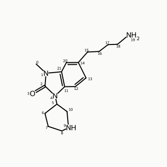 Cn1c(=O)n(C2CCCNC2)c2ccc(CCCCN)cc21